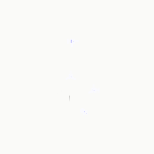 N#Cc1cccc(CN(c2ccc3[nH]ccc3c2)C2CCNCC2)c1